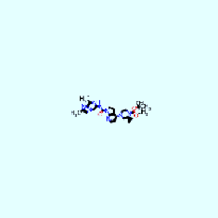 Cc1cn2cc(NC(=O)N3CCc4c(N5CCN(C(=O)OC(C)(C)C)C6(CC6)C5)ccnc43)nc(C)c2n1